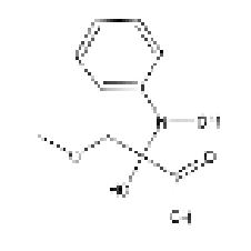 COCC(O)(C(=O)O)N(O)c1ccccc1